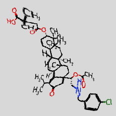 CC(=O)O[C@H](CNCc1ccc(Cl)cc1)[C@@]12CC[C@]3(C)[C@H](CC[C@@H]4[C@@]5(C)CC[C@H](OC(=O)CC(C)(C)C(=O)O)C(C)(C)[C@@H]5CC[C@]43C)C1=C(C(C)C)C(=O)C2